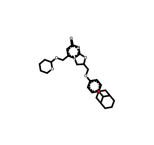 O=c1cc(COC2CCCCO2)n2c(n1)OC(COc1ccc(C3C4CCCC3CCC4)cc1)C2